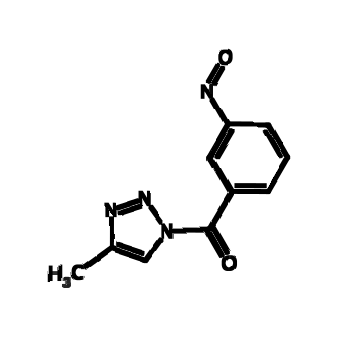 Cc1cn(C(=O)c2cccc(N=O)c2)nn1